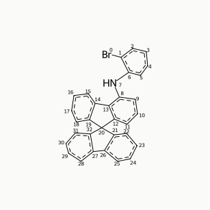 Brc1ccccc1Nc1cccc2c1-c1ccccc1C21c2ccccc2-c2ccccc21